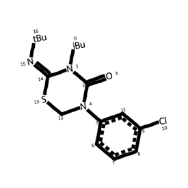 CCC(C)N1C(=O)N(c2cccc(Cl)c2)CSC1=NC(C)(C)C